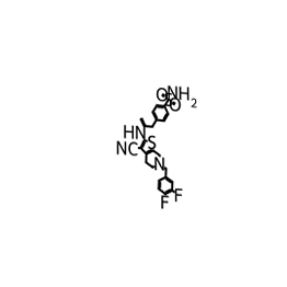 C=C(Cc1ccc(S(N)(=O)=O)cc1)Nc1sc2c(c1C#N)CCN(Cc1ccc(F)c(F)c1)C2